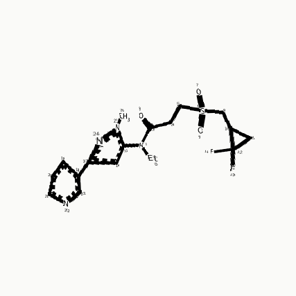 CCN(C(=O)CCS(=O)(=O)CC1CC1(F)F)c1cc(-c2cccnc2)nn1C